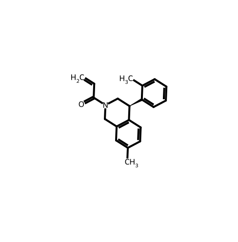 C=CC(=O)N1Cc2cc(C)ccc2[C@H](c2ccccc2C)C1